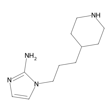 Nc1nccn1CCCC1CCNCC1